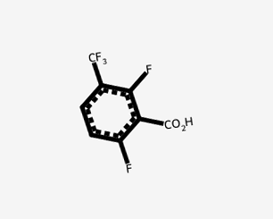 O=C(O)c1c(F)ccc(C(F)(F)F)c1F